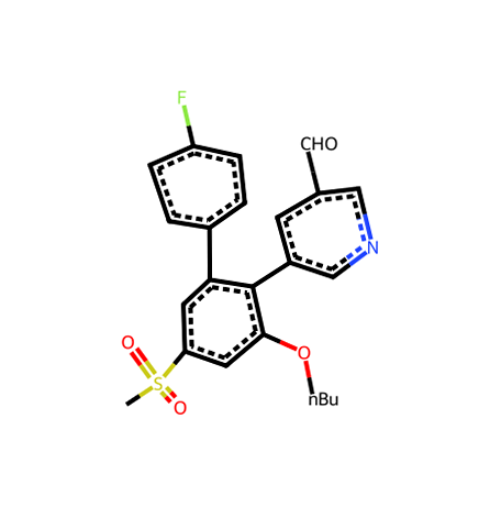 CCCCOc1cc(S(C)(=O)=O)cc(-c2ccc(F)cc2)c1-c1cncc(C=O)c1